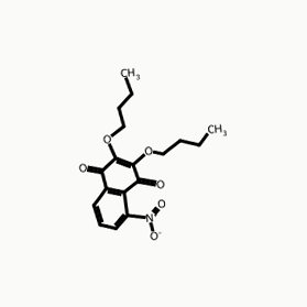 CCCCOC1=C(OCCCC)C(=O)c2c(cccc2[N+](=O)[O-])C1=O